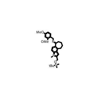 COc1ccc(CN=C2CCCCc3c2ccc2c3cc(CO[Si](C)(C)C(C)(C)C)n2C)c(OC)c1